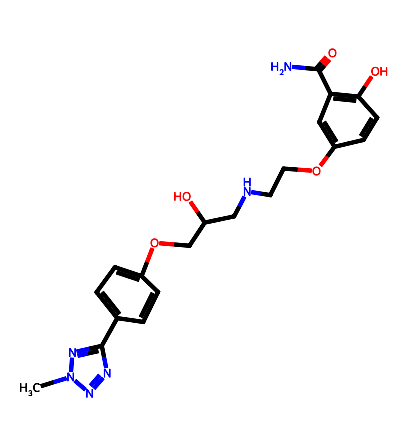 Cn1nnc(-c2ccc(OCC(O)CNCCOc3ccc(O)c(C(N)=O)c3)cc2)n1